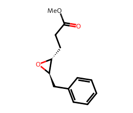 COC(=O)CC[C@H]1O[C@@H]1Cc1ccccc1